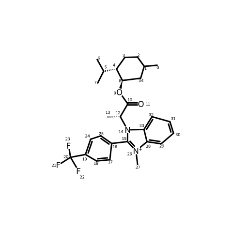 CC1CC[C@@H](C(C)C)[C@H](OC(=O)[C@@H](C)n2c(-c3ccc(C(F)(F)F)cc3)[n+](C)c3ccccc32)C1